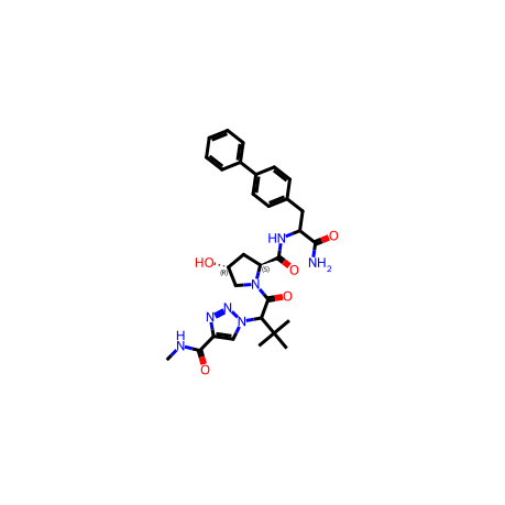 CNC(=O)c1cn(C(C(=O)N2C[C@H](O)C[C@H]2C(=O)NC(Cc2ccc(-c3ccccc3)cc2)C(N)=O)C(C)(C)C)nn1